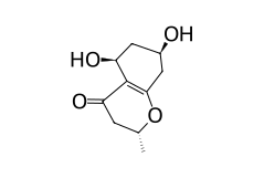 C[C@@H]1CC(=O)C2=C(C[C@H](O)C[C@@H]2O)O1